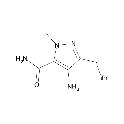 CC(C)Cc1nn(C)c(C(N)=O)c1N